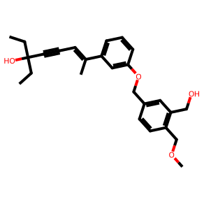 CCC(O)(C#C/C=C(\C)c1cccc(OCc2ccc(COC)c(CO)c2)c1)CC